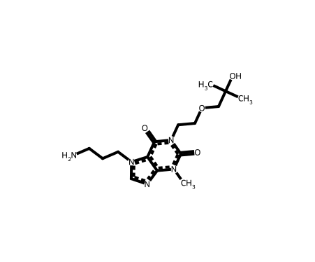 Cn1c(=O)n(CCOCC(C)(C)O)c(=O)c2c1ncn2CCCN